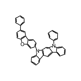 c1ccc(-c2ccc3oc4cc(-n5c6ccccc6c6cc7c8ccccc8n(-c8ccccc8)c7cc65)ccc4c3c2)cc1